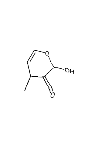 CC1C=COC(O)C1=O